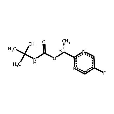 C[C@@H](OC(=O)NC(C)(C)C)c1ncc(F)cn1